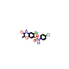 CC1Oc2cc(S(=O)(=O)Nc3ccc(Cl)cc3)c(Br)cc2N(C)C1=O